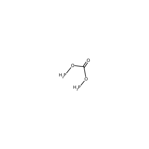 O=C(OP)OP